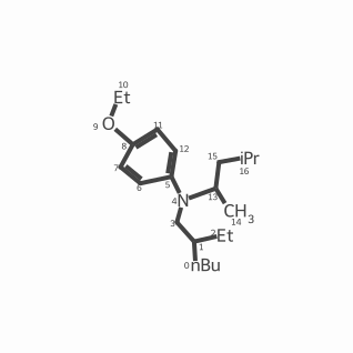 CCCCC(CC)CN(c1ccc(OCC)cc1)C(C)CC(C)C